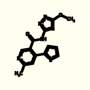 COc1nnc(NC(=O)c2cnc(C)cc2-c2cccs2)s1